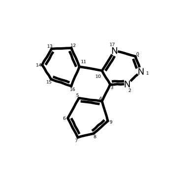 [c]1nnc(-c2ccccc2)c(-c2ccccc2)n1